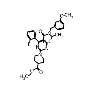 CCOC(=O)C1CCN(c2ncc(C(=O)N(Cc3cccc(OC)c3)C(C)C)c(-c3ccccc3F)n2)CC1